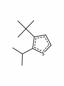 CC(C)c1sccc1C(C)(C)C